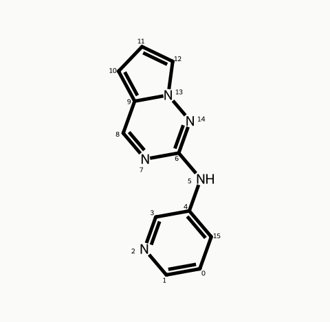 c1cncc(Nc2ncc3cccn3n2)c1